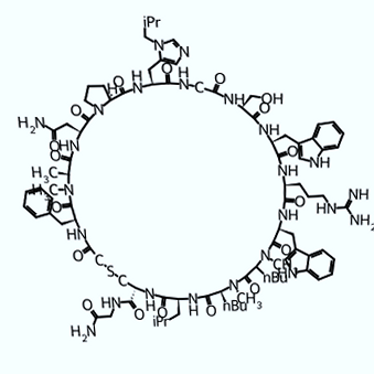 CCCCC1C(=O)N(C)[C@@H](CCCC)C(=O)N[C@@H](CC(C)C)C(=O)N[C@H](C(=O)NCC(N)=O)CSCC(=O)N[C@@H](Cc2ccccc2)C(=O)N(C)[C@@H](C)C(=O)N[C@@H](CC(N)=O)C(=O)N2CCC[C@H]2C(=O)N[C@@H](Cc2cncn2CC(C)C)C(=O)NCC(=O)N[C@@H](CO)C(=O)N[C@@H](Cc2c[nH]c3ccccc23)C(=O)N[C@@H](CCCNC(=N)N)C(=O)N[C@@H](Cc2c[nH]c3ccccc23)C(=O)N1C